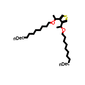 CCCCCCCCCCCCCCCCCCOC(C)c1cscc1C(C)OCCCCCCCCCCCCCCCCCC